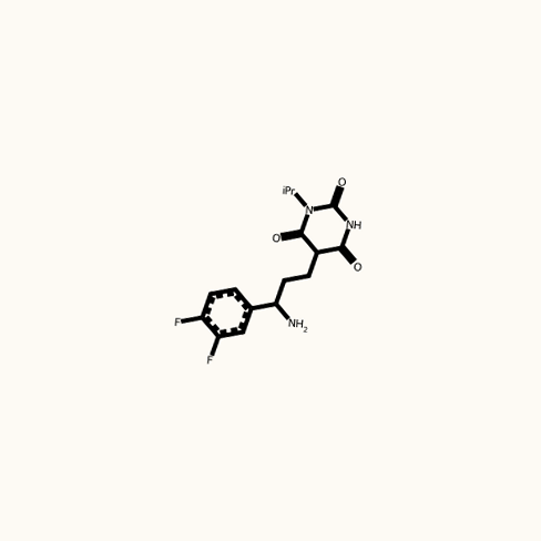 CC(C)N1C(=O)NC(=O)C(CCC(N)c2ccc(F)c(F)c2)C1=O